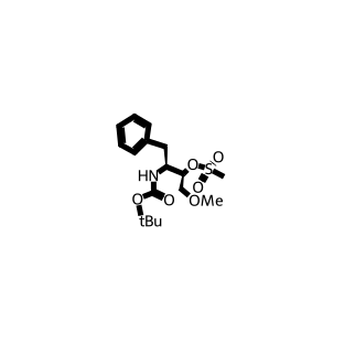 COC[C@H](OS(C)(=O)=O)[C@H](Cc1ccccc1)NC(=O)OC(C)(C)C